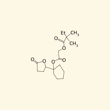 CCC(C)(C)C(=O)OCC(=O)OC1(C2CCC(=O)O2)CCCCC1